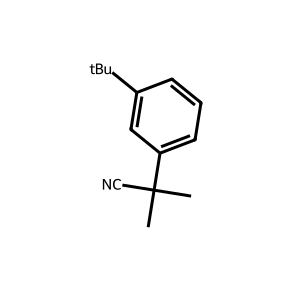 CC(C)(C)c1cccc(C(C)(C)C#N)c1